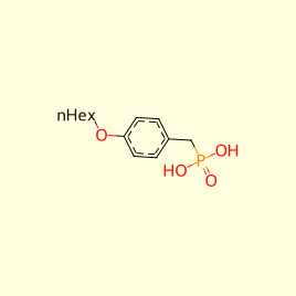 CCCCCCOc1ccc(CP(=O)(O)O)cc1